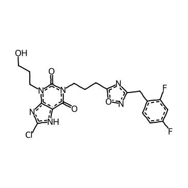 O=c1c2[nH]c(Cl)nc2n(CCCO)c(=O)n1CCCc1nc(Cc2ccc(F)cc2F)no1